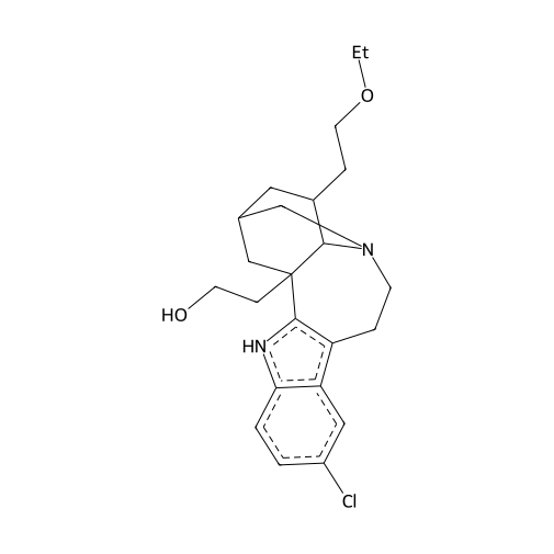 CCOCCC1CC2CN3CCc4c([nH]c5ccc(Cl)cc45)C(CCO)(C2)C13